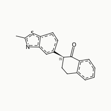 Cc1nc2cc([C@@H]3CCc4ccccc4C3=O)ccc2s1